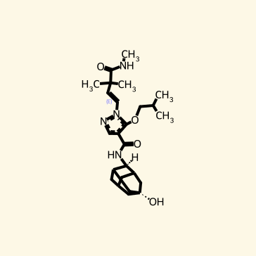 CNC(=O)C(C)(C)/C=C/n1ncc(C(=O)N[C@H]2C3CC4CC2C[C@](O)(C4)C3)c1OCC(C)C